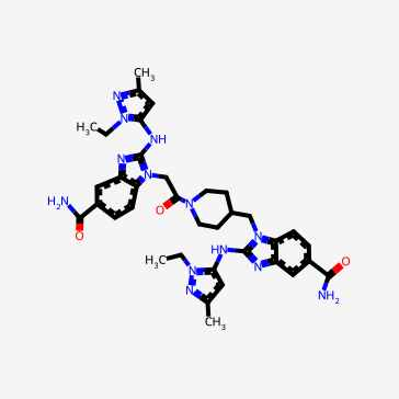 CCn1nc(C)cc1Nc1nc2cc(C(N)=O)ccc2n1CC(=O)N1CCC(Cn2c(Nc3cc(C)nn3CC)nc3cc(C(N)=O)ccc32)CC1